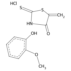 C=C1SC(=S)NC1=O.COc1ccccc1O.Cl